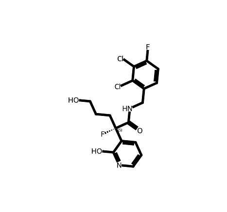 O=C(NCc1ccc(F)c(Cl)c1Cl)[C@](F)(CCCO)c1cccnc1O